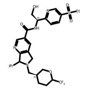 CCS(=O)(=O)c1ccc([C@H](CO)NC(=O)c2cnc3c(c2)CN(C[C@@H]2CCC(C(F)(F)F)OC2)C3C(C)C)nc1